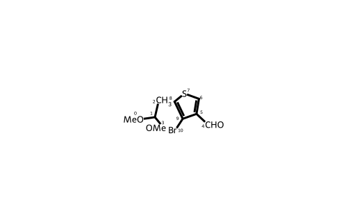 COC(C)OC.O=Cc1cscc1Br